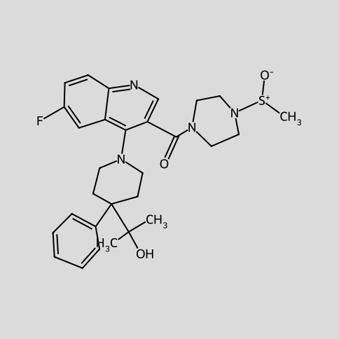 C[S+]([O-])N1CCN(C(=O)c2cnc3ccc(F)cc3c2N2CCC(c3ccccc3)(C(C)(C)O)CC2)CC1